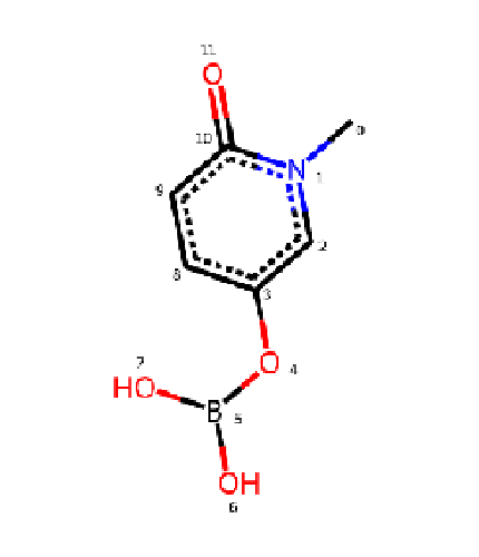 Cn1cc(OB(O)O)ccc1=O